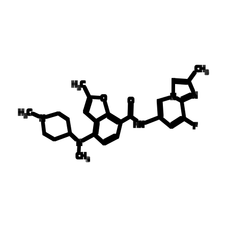 Cc1cn2cc(NC(=O)c3ccc(N(C)C4CCN(C)CC4)c4cc(C)oc34)cc(F)c2n1